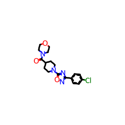 O=C(C1CCN(c2nc(-c3ccc(Cl)cc3)no2)CC1)N1CCOCC1